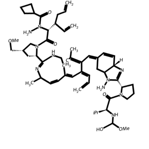 C=C\C=C(/C=C1/C=C\C(C)/N=C(/[C@@H]2C[C@H](COC)CN2C(=O)[C@@H](C(C=C)CC=C)N(N)C(=O)C2CCC2)NCC1)C(/C=C1/C=C[C@@H]2N=C([C@@H]3CCCN3C(=O)[C@@H](NC(O)OC)C(C)C)N(N)C2C1)=C(C)C